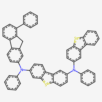 c1ccc(-c2cccc3c2Cc2cc(N(c4ccccc4)c4ccc5c(c4)sc4ccc(N(c6ccccc6)c6ccc7sc8ccccc8c7c6)cc45)ccc2-3)cc1